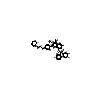 O=c1c(O)c(-c2ccc(CCCN3CCCCC3)cc2)oc2c3c(ccc12)OC(c1ccccc1)(c1ccccc1)O3